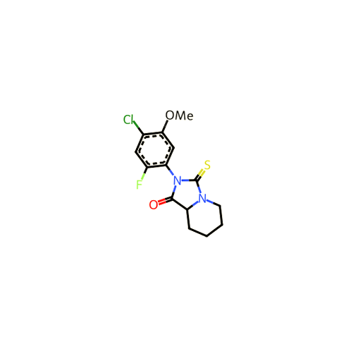 COc1cc(N2C(=O)C3CCCCN3C2=S)c(F)cc1Cl